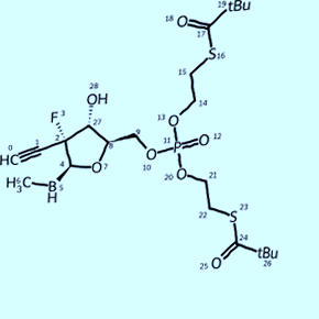 C#C[C@]1(F)[C@H](BC)O[C@H](COP(=O)(OCCSC(=O)C(C)(C)C)OCCSC(=O)C(C)(C)C)[C@H]1O